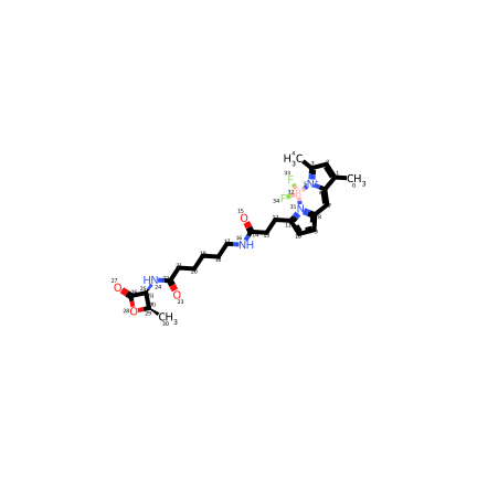 CC1=CC(C)=[N+]2C1=Cc1ccc(CCC(=O)NCCCCCC(=O)N[C@@H]3C(=O)O[C@@H]3C)n1[B-]2(F)F